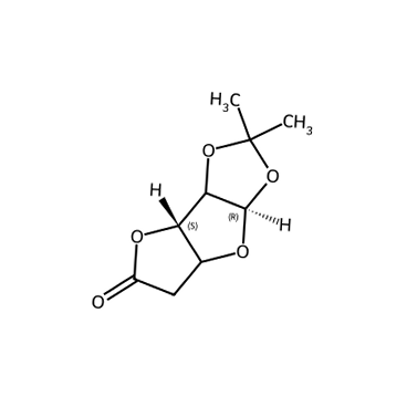 CC1(C)OC2[C@H](OC3CC(=O)O[C@@H]32)O1